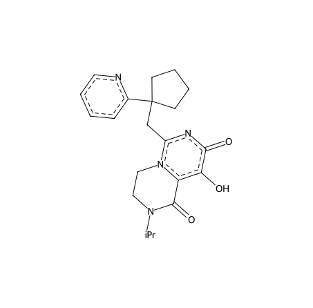 CC(C)N1CCn2c(CC3(c4ccccn4)CCCC3)nc(=O)c(O)c2C1=O